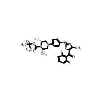 C[C@@H]1CN(c2ccc(Nc3nc(N)c(C(=O)c4c(F)cccc4F)s3)cc2)C[C@H](C)N1C(=O)OC(C)(C)C